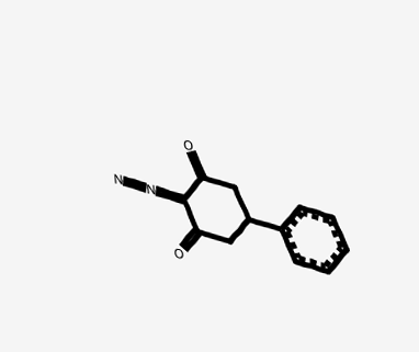 [N-]=[N+]=C1C(=O)CC(c2ccccc2)CC1=O